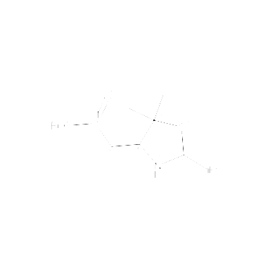 CC(C)CO[PH](=O)CC1NC(C(C)C)SC1(C)C